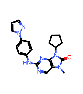 Cn1c(=O)n(C2CCCC2)c2nc(Nc3ccc(-n4cccn4)cc3)ncc21